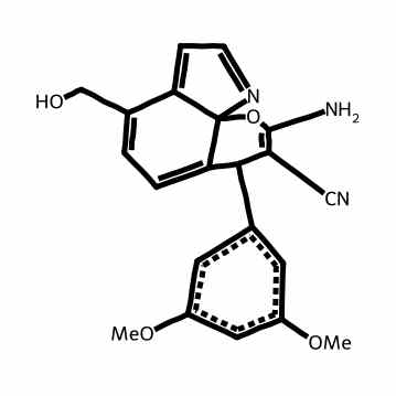 COc1cc(OC)cc(C2C3=CC=C(CO)C4=CC=NC43OC(N)=C2C#N)c1